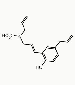 C=CCc1ccc(O)c(C=CCN(CC=C)C(=O)O)c1